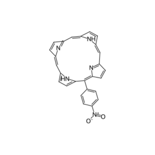 O=[N+]([O-])c1ccc(-c2c3nc(cc4ccc(cc5nc(cc6ccc2[nH]6)C=C5)[nH]4)C=C3)cc1